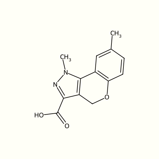 Cc1ccc2c(c1)-c1c(c(C(=O)O)nn1C)CO2